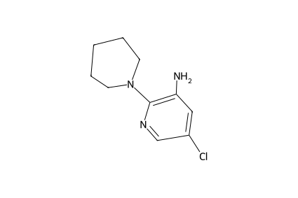 Nc1cc(Cl)cnc1N1CCCCC1